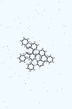 [2H]c1c(-c2cccc3c4ccccc4c4ccccc4c23)c(-c2ccccc2)c2c(c1=c1cccc3c1=Nc1ccccc1-3)=Nc1ccccc1-2